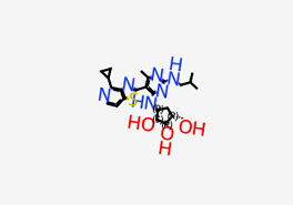 Cc1nc(NCC(C)C)nc(N[C@@H]2C[C@H](CO)[C@@H](O)[C@H]2O)c1-c1nc2c(C3CC3)nccc2s1